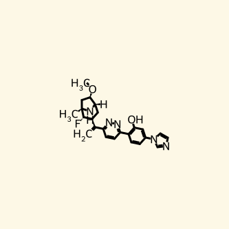 C=C(c1ccc(-c2ccc(-n3ccnc3)cc2O)nn1)[C@@H]1C[C@@H]2N[C@@](C)(C[C@H]2OC)[C@H]1F